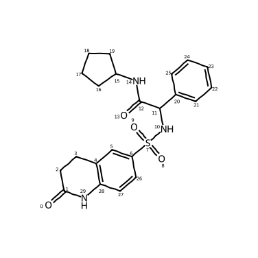 O=C1CCc2cc(S(=O)(=O)NC(C(=O)NC3CCCC3)c3ccccc3)ccc2N1